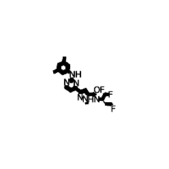 Cc1cc(C)cc(Nc2nccc(-c3cc(C(=O)N[C@@H](CCF)C(F)F)n(C)n3)n2)c1